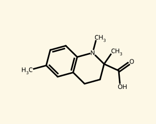 Cc1ccc2c(c1)CCC(C)(C(=O)O)N2C